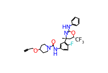 C#CCOC1CCN(C(=O)Nc2ccc(F)c([C@@]3(C)C[C@@H](C(F)(F)F)OC(Nc4ccccc4)=N3)c2)CC1